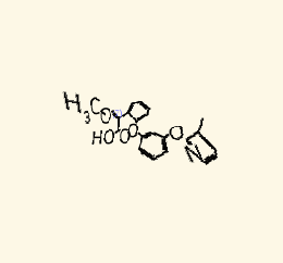 CO/C=C(\C(=O)O)c1ccccc1Oc1cccc(Oc2ncccc2I)c1